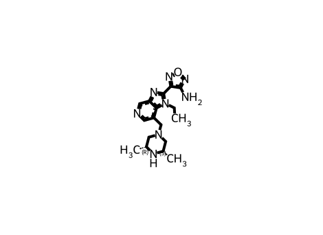 CCn1c(-c2nonc2N)nc2cncc(CN3C[C@@H](C)N[C@@H](C)C3)c21